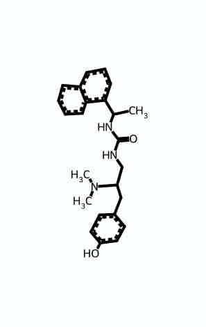 CC(NC(=O)NCC(Cc1ccc(O)cc1)N(C)C)c1cccc2ccccc12